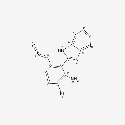 CCc1ccc(C=S=O)c(-c2nc3ccccc3[nH]2)c1N